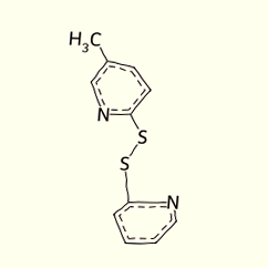 Cc1ccc(SSc2ccccn2)nc1